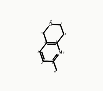 Cc1ccc2c(n1)CCOC2